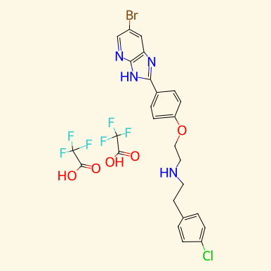 Clc1ccc(CCNCCOc2ccc(-c3nc4cc(Br)cnc4[nH]3)cc2)cc1.O=C(O)C(F)(F)F.O=C(O)C(F)(F)F